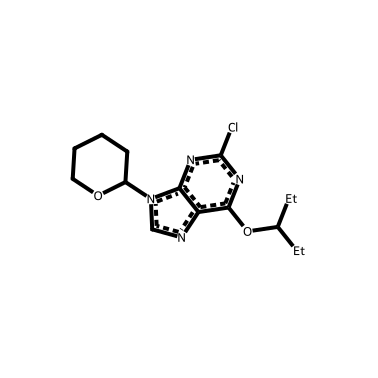 CCC(CC)Oc1nc(Cl)nc2c1ncn2C1CCCCO1